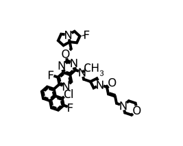 CN(CC1CN(C(=O)/C=C/CN2CCOCC2)C1)c1nc(OCC23CCCN2C[C@H](F)C3)nc2c(F)c(-c3cccc4ccc(F)c(Cl)c34)ncc12